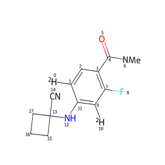 [2H]c1cc(C(=O)NC)c(F)c([2H])c1NC1(C#N)CCC1